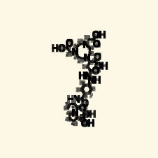 C=C[C@@H](NC(=O)c1ccc(NNC(=O)CC(C(=O)O)N2CCN(CC(=O)O)CCN(CC(=O)O)CC2)cc1)C(=O)N1CCC[C@H]1B(O)O